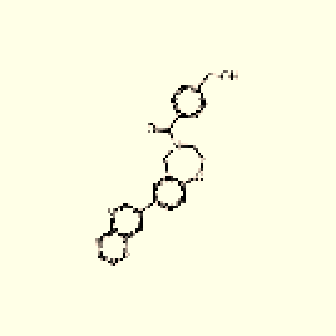 O=C(c1ccc(CO)cc1)N1CCOc2ccc(-c3cnc4ccccc4c3)cc2C1